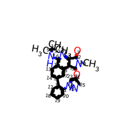 CN1C(=O)c2nc(NC(C)(C)C)c3ccc(-c4ccccc4-n4cccn4)cc3c2C1=O